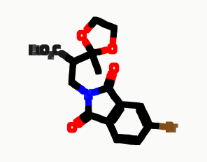 CCOC(=O)C(CN1C(=O)c2ccc(Br)cc2C1=O)C1(C)OCCO1